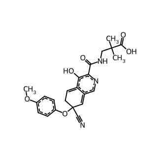 COc1ccc(OC2(C#N)C=c3cnc(C(=O)NCC(C)(C)C(=O)O)c(O)c3=CC2)cc1